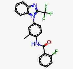 Cc1cc(-n2c(C(F)(F)F)nc3ccccc32)ccc1NC(=O)c1ccccc1F